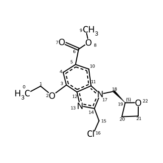 CCOc1cc(C(=O)OC)cc2c1nc(CCl)n2C[C@@H]1CCO1